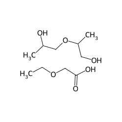 CC(O)COC(C)CO.CCOCC(=O)O